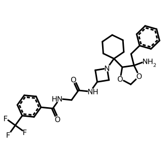 NC1(Cc2ccccc2)OCOC1C1(N2CC(NC(=O)CNC(=O)c3cccc(C(F)(F)F)c3)C2)CCCCC1